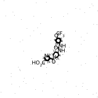 O=C(Nc1ccc(OC(F)(F)F)cc1)NC1CCN(C(=O)c2cncc(C(=O)O)c2)CC1